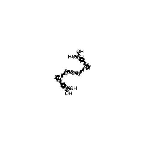 C[N+](C)(CCCC[n+]1ccccc1/C=C/c1ccc(N(CCO)CCO)cc1)CCSSCC[N+](C)(C)CCCC[n+]1ccccc1/C=C/c1ccc(N(CCO)CCO)cc1